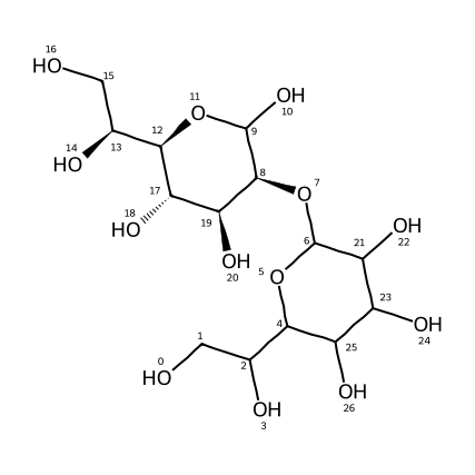 OCC(O)C1OC(O[C@@H]2C(O)O[C@H]([C@@H](O)CO)[C@@H](O)[C@@H]2O)C(O)C(O)C1O